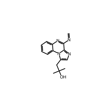 C=Nc1nc2ccccc2n2c(CC(C)(C)O)cnc12